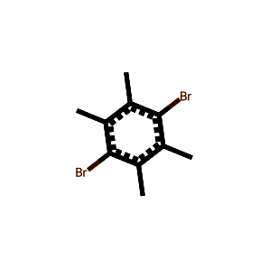 Cc1c(C)c(Br)c(C)c(C)c1Br